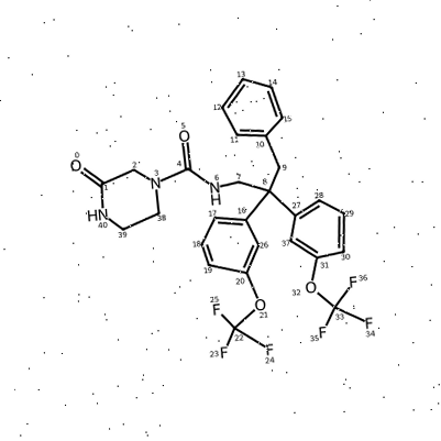 O=C1CN(C(=O)NCC(Cc2ccccc2)(c2cccc(OC(F)(F)F)c2)c2cccc(OC(F)(F)F)c2)CCN1